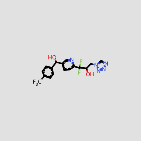 OC(c1ccc(C(F)(F)F)cc1)c1ccc(C(F)(F)C(O)Cn2cnnn2)nc1